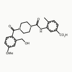 COc1ccc(C(=O)N2CCN(C(=O)Nc3cc(C(=O)O)ccc3C)CC2)c(CO)c1